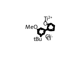 COc1cc(-c2ccccc2[O][Ti+2])cc(C(C)(C)C)c1.[Cl-].[Cl-]